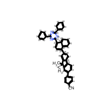 CC1(C)c2cc(-c3ccc(C#N)cc3)ccc2-c2ccc(-c3ccc(-c4nc(-c5ccccc5)nc(-c5ccccc5)n4)c4ccccc34)cc21